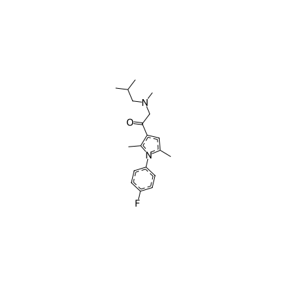 Cc1cc(C(=O)CN(C)CC(C)C)c(C)n1-c1ccc(F)cc1